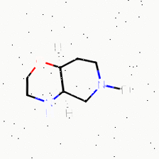 CCN1CC[C@@H]2OCCN[C@@H]2C1